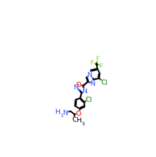 CC(CN)Oc1ccc(-c2noc(-c3cn4cc(C(F)(F)F)cc(Cl)c4n3)n2)c(Cl)c1